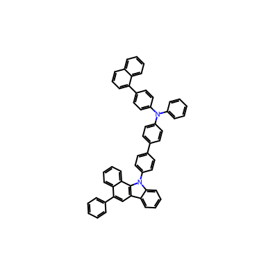 c1ccc(-c2cc3c4ccccc4n(-c4ccc(-c5ccc(N(c6ccccc6)c6ccc(-c7cccc8ccccc78)cc6)cc5)cc4)c3c3ccccc23)cc1